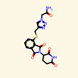 NC(=O)Cn1cc(CSc2cccc3c2C(=O)N(C2CCC(=O)NC2=O)C3=O)nn1